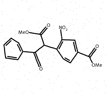 COC(=O)c1ccc(C(C(=O)OC)C(=O)c2ccccc2)c([N+](=O)[O-])c1